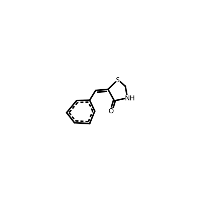 O=C1NCSC1=Cc1ccccc1